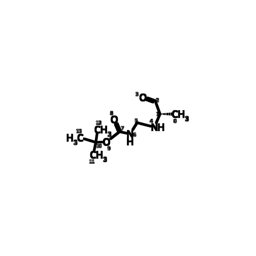 C[C@@H](C=O)NCNC(=O)OC(C)(C)C